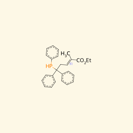 CCOC(=O)/C(C)=C/CC(Pc1ccccc1)(c1ccccc1)c1ccccc1